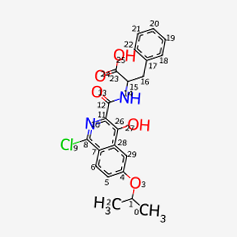 CC(C)Oc1ccc2c(Cl)nc(C(=O)NC(Cc3ccccc3)C(=O)O)c(O)c2c1